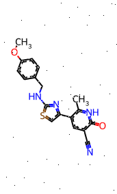 COc1ccc(CNc2nc(-c3cc(C#N)c(=O)[nH]c3C)cs2)cc1